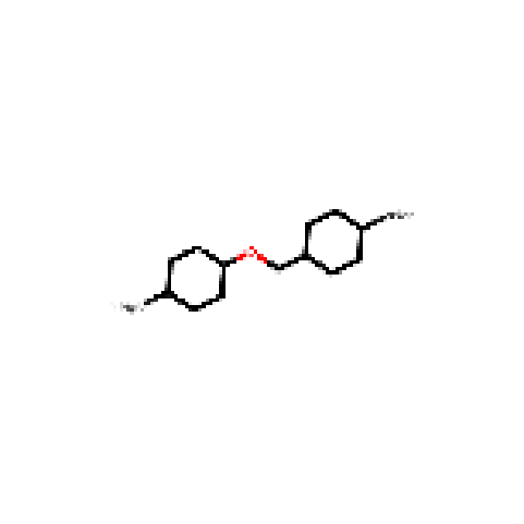 CCCCCCCCCC1CCC(COC2CCC(CCCCCCC)CC2)CC1